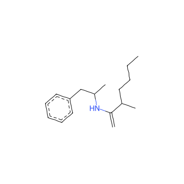 C=C(NC(C)Cc1ccccc1)C(C)CCCC